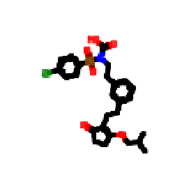 CC(C)COC1=C(CCc2cccc(CCN(C(=O)O)S(=O)(=O)c3ccc(Cl)cc3)c2)C(=O)CC1